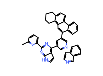 Cc1cccc(-c2nc(-c3cncc(-c4cc5c6c(ccc5c5ccccc45)CCCC6)c3)c3cc[nH]c3n2)n1.c1ccc2cnccc2c1